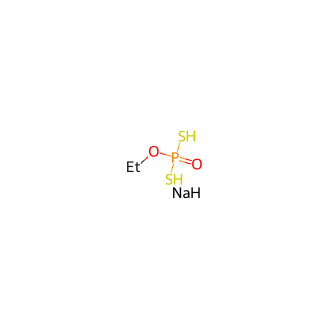 CCOP(=O)(S)S.[NaH]